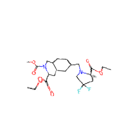 CCOC(=O)C1CC2CC(CN3CC(F)(F)C[C@@H]3C(=O)OCC)CCC2CN1C(=O)OC